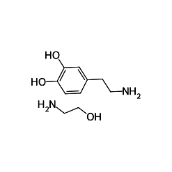 NCCO.NCCc1ccc(O)c(O)c1